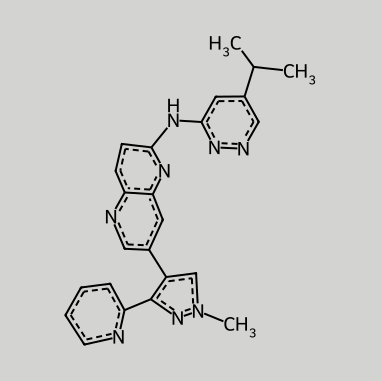 CC(C)c1cnnc(Nc2ccc3ncc(-c4cn(C)nc4-c4ccccn4)cc3n2)c1